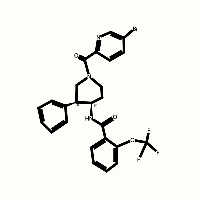 O=C(N[C@@H]1CCN(C(=O)c2ccc(Br)cn2)C[C@@H]1c1ccccc1)c1ccccc1OC(F)(F)F